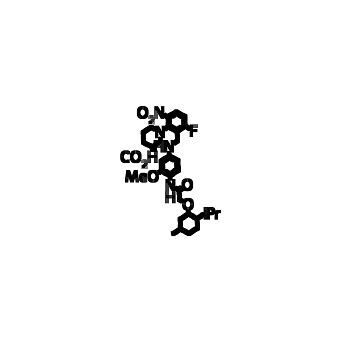 COc1cc(NCc2c(F)ccc([N+](=O)[O-])c2N2CCCC(C(=O)O)C2)ccc1NC(=O)COC1CC(C)CCC1C(C)C